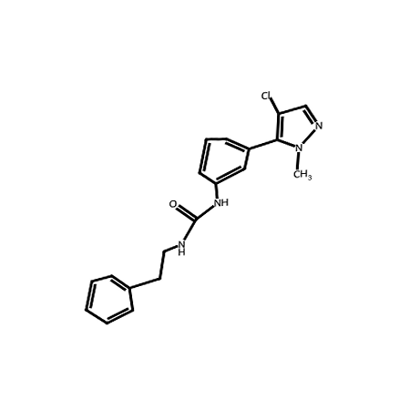 Cn1ncc(Cl)c1-c1cccc(NC(=O)NCCc2ccccc2)c1